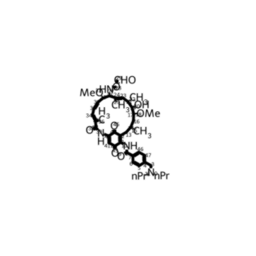 CCCN(CCC)Cc1ccc(C(=O)NC2=C3C[C@@H](C)C[C@H](OC)[C@H](O)[C@@H](C)/C=C(\C)[C@H](NOC=O)[C@@H](OC)/C=C\C=C(/C)C(=O)NC(=CC2=O)C3=O)cc1